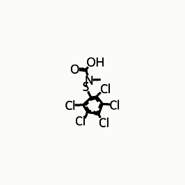 CN(Sc1c(Cl)c(Cl)c(Cl)c(Cl)c1Cl)C(=O)O